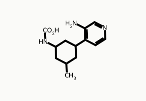 CC1CC(NC(=O)O)CC(c2ccncc2N)C1